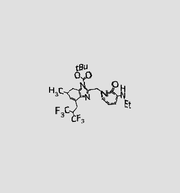 CCNc1cccn(Cc2nc3c(n2C(=O)OC(C)(C)C)CC(C)C=C3CC(C(F)(F)F)C(F)(F)F)c1=O